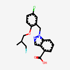 CC(CF)COc1ccc(Cl)cc1Cn1ncc2c(C(=O)O)cccc21